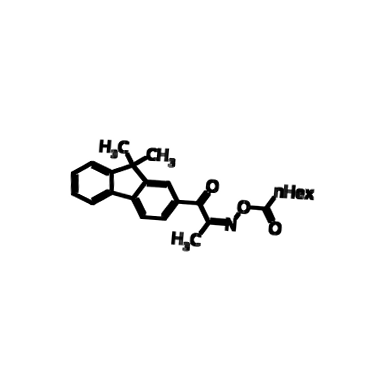 CCCCCCC(=O)O/N=C(/C)C(=O)c1ccc2c(c1)C(C)(C)c1ccccc1-2